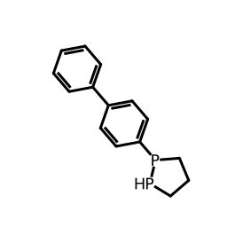 c1ccc(-c2ccc(P3CCCP3)cc2)cc1